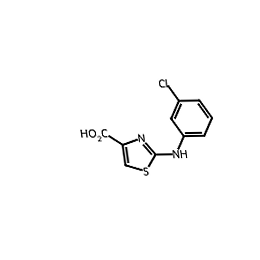 O=C(O)c1csc(Nc2cccc(Cl)c2)n1